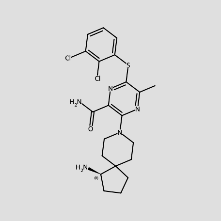 Cc1nc(N2CCC3(CCC[C@H]3N)CC2)c(C(N)=O)nc1Sc1cccc(Cl)c1Cl